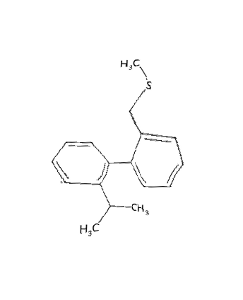 CSCc1ccccc1-c1ccc[c]c1C(C)C